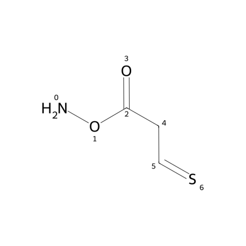 NOC(=O)CC=S